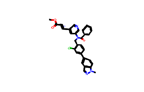 COC(=O)/C=C/c1cncc(N(Cc2ccc(-c3ccc4c(cnn4C)c3)cc2Cl)C(=O)c2ccccc2)c1